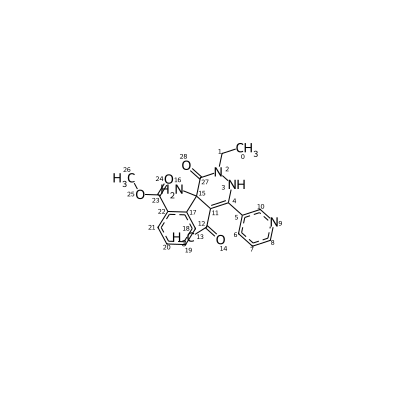 CCN1NC(c2cccnc2)=C(C(C)=O)C(N)(c2ccccc2C(=O)OC)C1=O